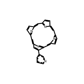 C1=CC2=NC1=CC1=NC(=CC3=NC(=CC4=NC(=C2)C=C4)C=C3c2cccnc2)C=C1